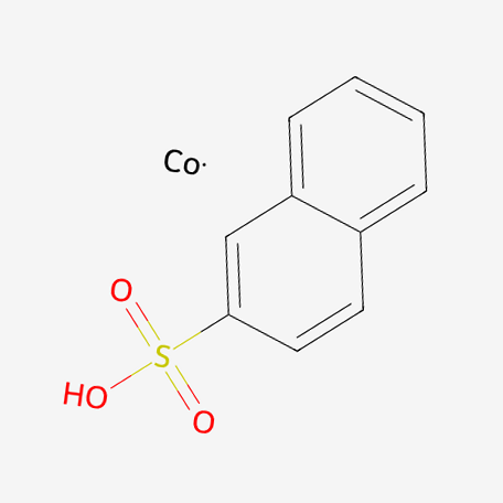 O=S(=O)(O)c1ccc2ccccc2c1.[Co]